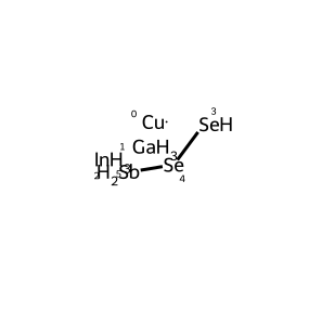 [Cu].[GaH3].[InH3].[SeH][Se][SbH2]